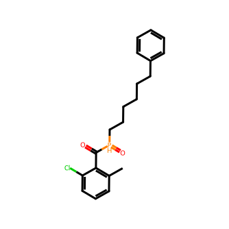 Cc1cccc(Cl)c1C(=O)[PH](=O)CCCCCCc1ccccc1